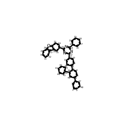 c1ccc(-c2ccc(-c3ccc(-c4nc(-c5ccccc5)nc(-c5ccc6oc7ccccc7c6c5)n4)cc3)c(-c3ccccc3)c2)cc1